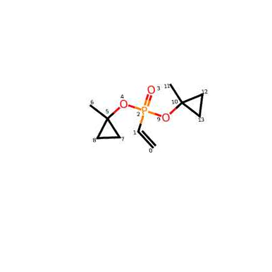 C=CP(=O)(OC1(C)CC1)OC1(C)CC1